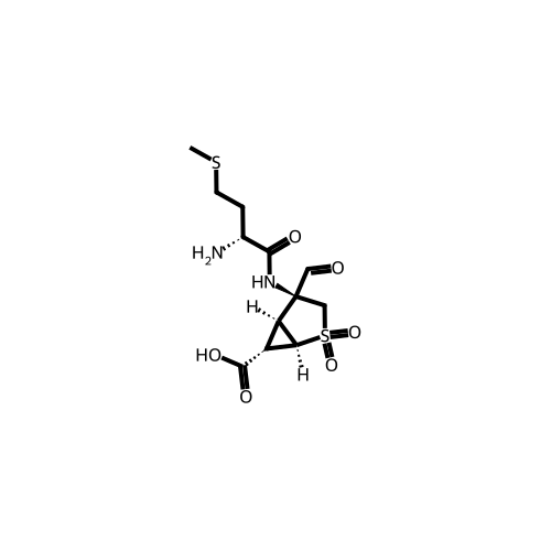 CSCC[C@@H](N)C(=O)N[C@@]1(C=O)CS(=O)(=O)[C@H]2[C@H](C(=O)O)[C@H]21